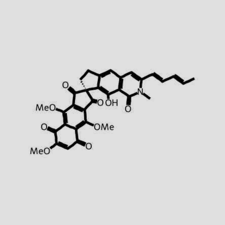 C/C=C/C=C/c1cc2cc3c(c(O)c2c(=O)n1C)[C@@]1(CC3)C(=O)c2c(OC)c3c(c(OC)c2C1=O)C(=O)C(OC)=CC3=O